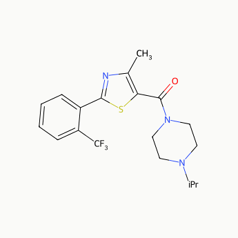 Cc1nc(-c2ccccc2C(F)(F)F)sc1C(=O)N1CCN(C(C)C)CC1